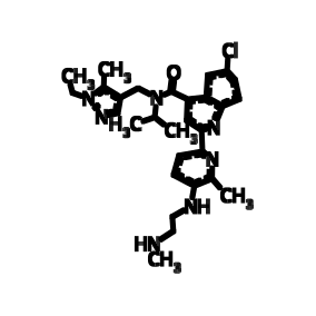 CCn1ncc(CN(C(=O)c2cc(-c3ccc(NCCNC)c(C)n3)nc3ccc(Cl)cc23)C(C)C)c1C